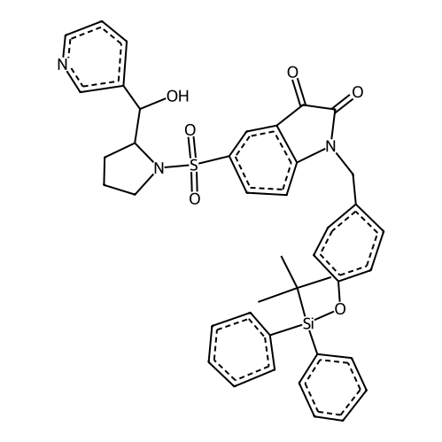 CC(C)(C)[Si](Oc1ccc(CN2C(=O)C(=O)c3cc(S(=O)(=O)N4CCCC4C(O)c4cccnc4)ccc32)cc1)(c1ccccc1)c1ccccc1